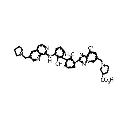 Cc1c(Nc2nccc3cc(CN4CCCC4)cnc23)cccc1-c1cccc(-c2nc3c(Cl)cc(CN4CC[C@@H](C(=O)O)C4)cn3n2)c1C